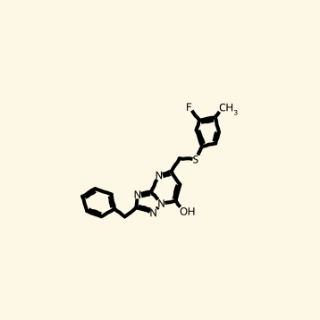 Cc1ccc(SCc2cc(O)n3nc(Cc4ccccc4)nc3n2)cc1F